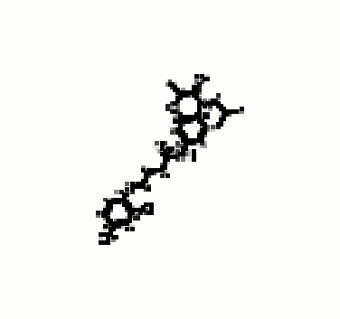 CC(C)CN1C(=O)C(C)Oc2cc(NC(=O)CCCOc3ccc(Cl)cc3Cl)ccc21